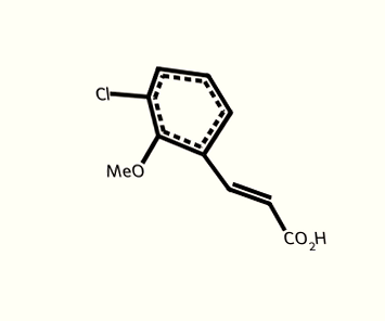 COc1c(Cl)cccc1C=CC(=O)O